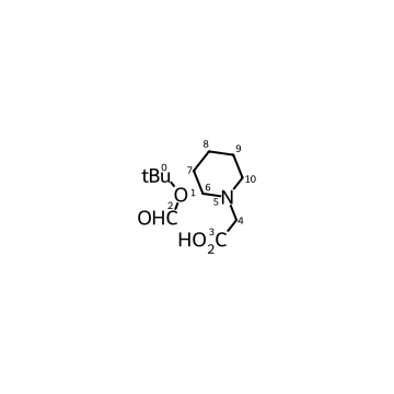 CC(C)(C)OC=O.O=C(O)CN1CCCCC1